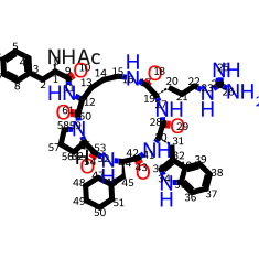 CC(=O)N[C@@H](Cc1ccccc1)C(=O)NC1CCCNC(=O)[C@H](CCCNC(=N)N)NC(=O)[C@H](Cc2c[nH]c3ccccc23)NC(=O)[C@@H](CC2CCCCC2)NC(=O)[C@@H]2CCCN2C1=O